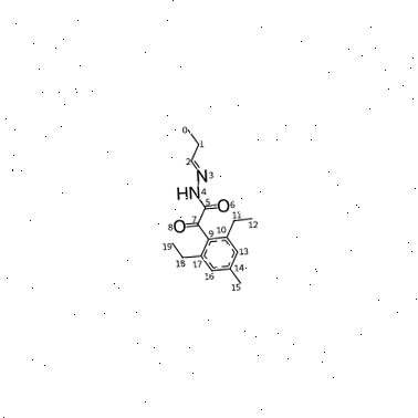 CCC=NNC(=O)C(=O)c1c(CC)cc(C)cc1CC